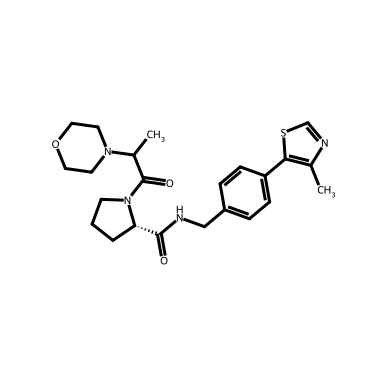 Cc1ncsc1-c1ccc(CNC(=O)[C@@H]2CCCN2C(=O)C(C)N2CCOCC2)cc1